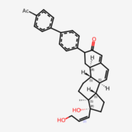 CC(=O)c1ccc(-c2ccc(C3C[C@H]4C(=CC3=O)C=C[C@@H]3[C@@H]4CC[C@@]4(C)[C@H]3CC[C@@]4(O)/C=C\CO)cc2)cc1